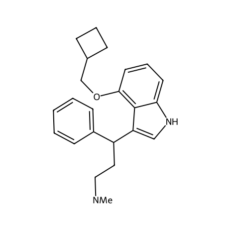 CNCCC(c1ccccc1)c1c[nH]c2cccc(OCC3CCC3)c12